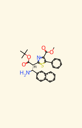 COC(=O)c1nc([C@@H](C(=O)OC(C)(C)C)C(N)c2ccc3ccccc3c2)sc1-c1ccccc1